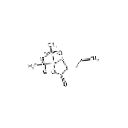 C=CCC1SC(S(C)(=O)=O)(S(C)(=O)=O)OC1=O